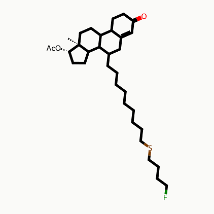 CC(=O)O[C@H]1CCC2C3C(CCCCCCCCCSCCCCF)CC4=CC(=O)CCC4C3CC[C@@]21C